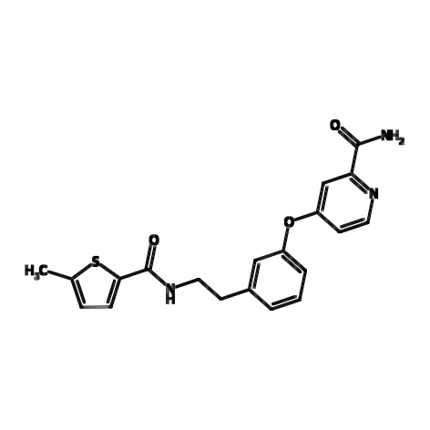 Cc1ccc(C(=O)NCCc2cccc(Oc3ccnc(C(N)=O)c3)c2)s1